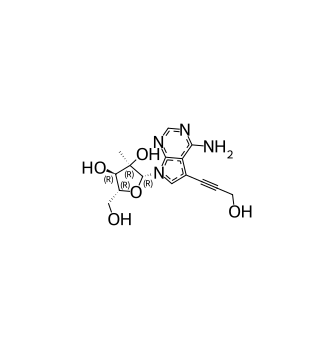 C[C@@]1(O)[C@H](O)[C@@H](CO)O[C@H]1n1cc(C#CCO)c2c(N)ncnc21